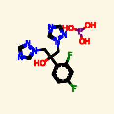 OC(Cn1cncn1)(Cn1cncn1)c1ccc(F)cc1F.OP(O)O